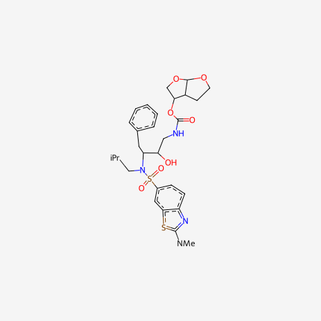 CNc1nc2ccc(S(=O)(=O)N(CC(C)C)C(Cc3ccccc3)C(O)CNC(=O)OC3COC4OCCC34)cc2s1